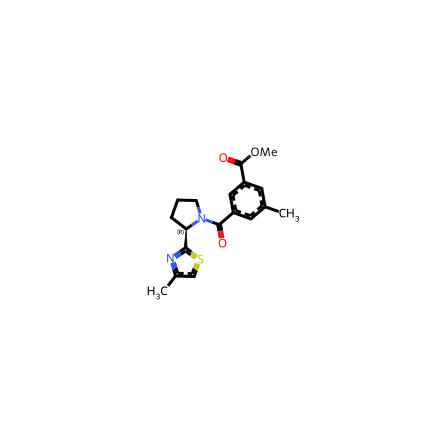 COC(=O)c1cc(C)cc(C(=O)N2CCC[C@@H]2c2nc(C)cs2)c1